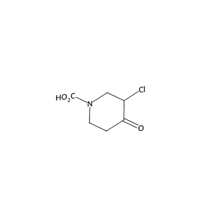 O=C1CCN(C(=O)O)CC1Cl